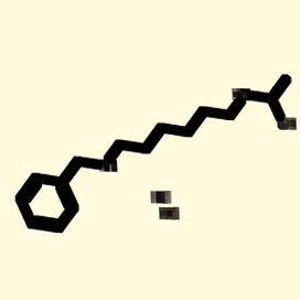 CC(O)NCCCCCCNCc1ccccc1.Cl.Cl